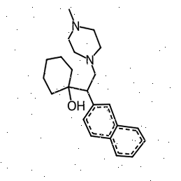 CN1CCN(CC(c2ccc3ccccc3c2)C2(O)CCCCC2)CC1